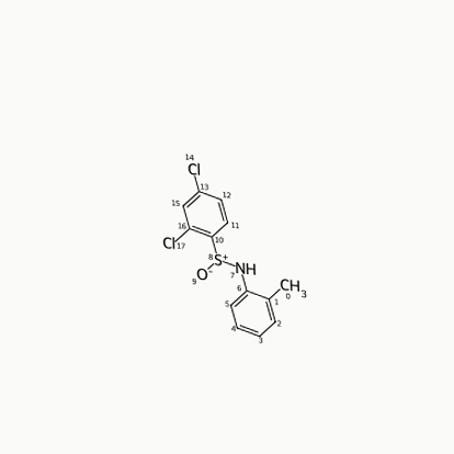 Cc1ccccc1N[S+]([O-])c1ccc(Cl)cc1Cl